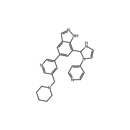 C1=CN(c2ccncc2)C(c2cc(-c3cncc(CN4CCCCC4)c3)cc3cn[nH]c23)N1